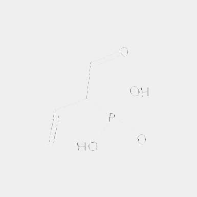 C=CC(C=O)P(=O)(O)O